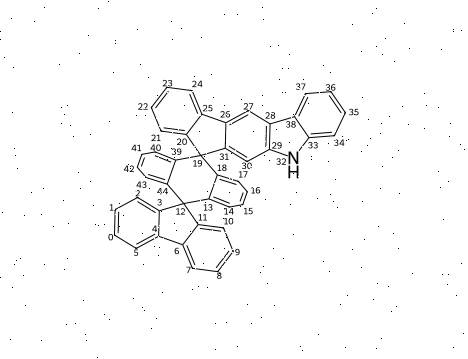 c1ccc2c(c1)-c1ccccc1C21c2ccccc2C2(c3ccccc3-c3cc4c(cc32)[nH]c2ccccc24)c2ccccc21